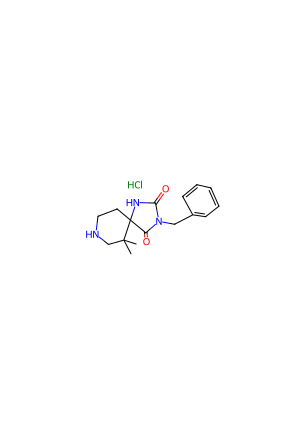 CC1(C)CNCCC12NC(=O)N(Cc1ccccc1)C2=O.Cl